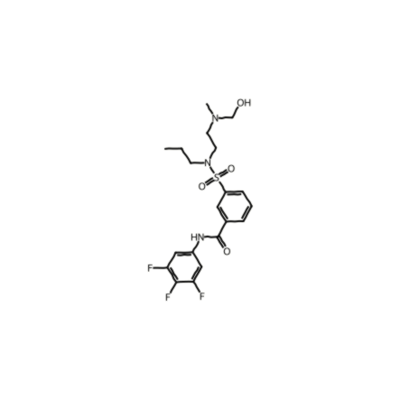 CCCN(CCN(C)CO)S(=O)(=O)c1cccc(C(=O)Nc2cc(F)c(F)c(F)c2)c1